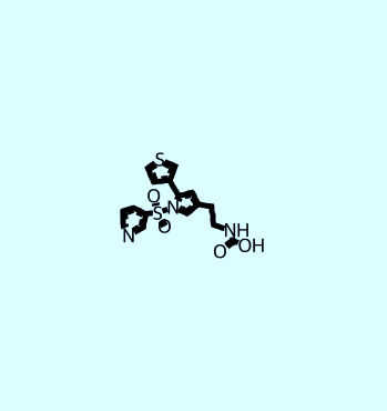 O=C(O)NCCc1cc(-c2ccsc2)n(S(=O)(=O)c2cccnc2)c1